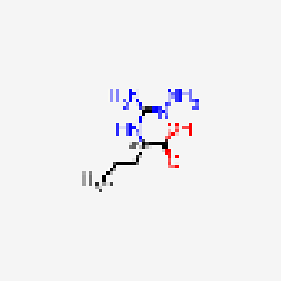 CCC[C@@H](NC(N)=NN)C(=O)O